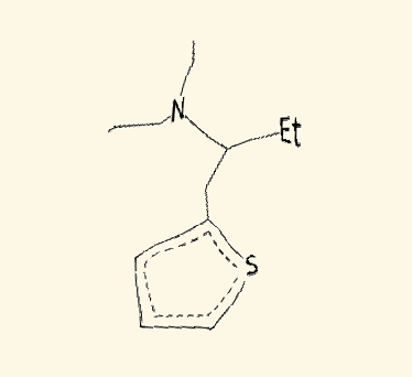 CCC(c1cccs1)N(C)C